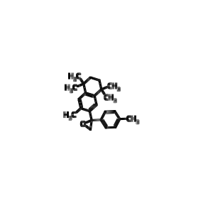 Cc1ccc(C2(c3cc4c(cc3C)C(C)(C)CCC4(C)C)CO2)cc1